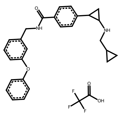 O=C(NCc1cccc(Oc2ccccc2)c1)c1ccc(C2CC2NCC2CC2)cc1.O=C(O)C(F)(F)F